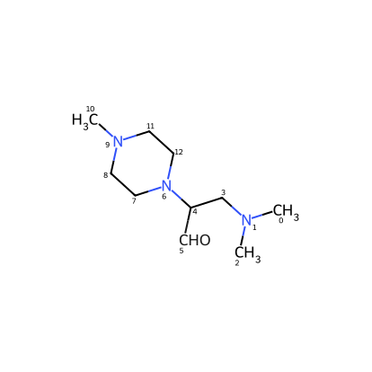 CN(C)CC(C=O)N1CCN(C)CC1